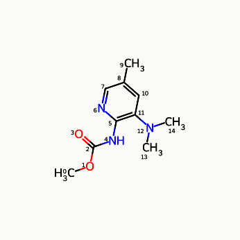 COC(=O)Nc1ncc(C)cc1N(C)C